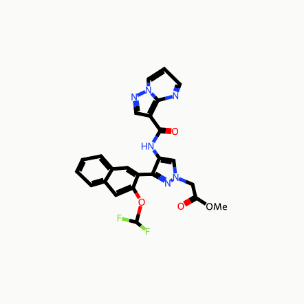 COC(=O)Cn1cc(NC(=O)c2cnn3cccnc23)c(-c2cc3ccccc3cc2OC(F)F)n1